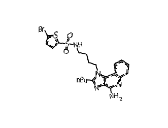 CCCCc1nc2c(N)nc3ccccc3c2n1CCCCNS(=O)(=O)c1ccc(Br)s1